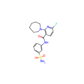 NS(=O)(=O)c1cccc(NC(=O)c2ccc(F)nc2N2CCCCCC2)c1